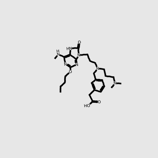 CCCCOc1nc(NC)c2[nH]c(=O)n(CCCN(CCCN(C)C)Cc3cccc(CC(=O)O)c3)c2n1